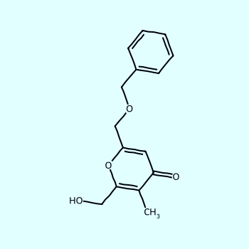 Cc1c(CO)oc(COCc2ccccc2)cc1=O